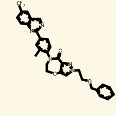 Cc1cc(-c2ncc3cc(C(F)(F)F)ccc3n2)ccc1N1CCOc2cn(CCOCc3ccccc3)nc2C1=O